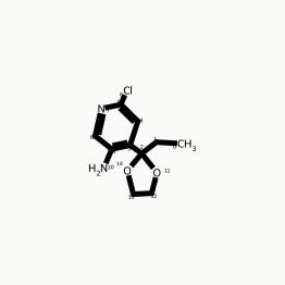 CCC1(c2cc(Cl)ncc2N)OCCO1